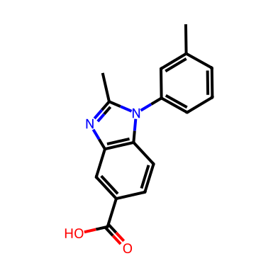 Cc1cccc(-n2c(C)nc3cc(C(=O)O)ccc32)c1